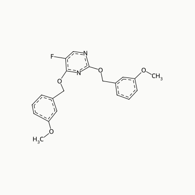 COc1cccc(COc2ncc(F)c(OCc3cccc(OC)c3)n2)c1